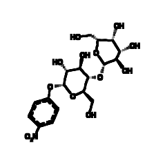 O=[N+]([O-])c1ccc(O[C@H]2O[C@H](CO)[C@@H](O[C@@H]3O[C@H](CO)[C@H](O)[C@H](O)[C@H]3O)[C@H](O)[C@H]2O)cc1